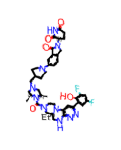 CC[C@@]12CNc3nnc(-c4cc(F)cc(F)c4O)cc3N1CCN(C(=O)N1[C@H](C)CN(CC3CCN(c4ccc5c(c4)C(=O)N([C@@H]4CCC(=O)NC4=O)C5)CC3)C[C@@H]1C)C2